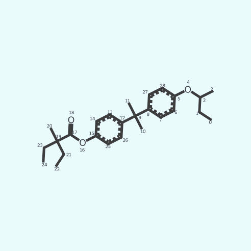 CCC(C)Oc1ccc(C(C)(C)c2ccc(OC(=O)C(C)(CC)CC)cc2)cc1